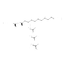 CC(N)O.CC(N)O.CC(N)O.CCCCCCCCCCC(=O)OC(=O)CCCCCCCCCC(=O)O